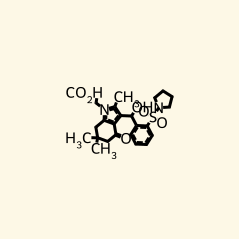 Cc1c(C(O)c2ccccc2S(=O)(=O)N2CCCC2)c2c(n1CC(=O)O)CC(C)(C)CC2=O